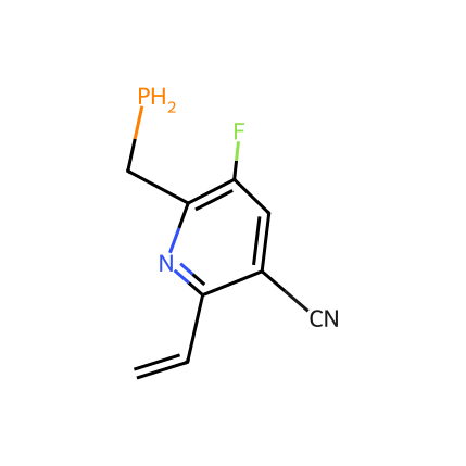 C=Cc1nc(CP)c(F)cc1C#N